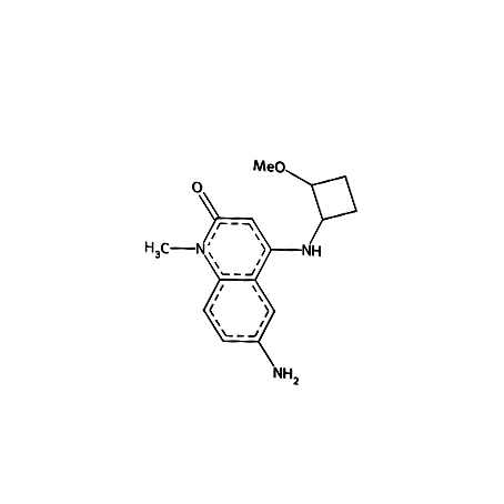 COC1CCC1Nc1cc(=O)n(C)c2ccc(N)cc12